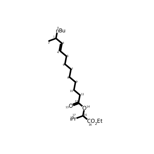 CCCCC(C)/C=C/CCCCCCCC(=O)OC(C(=O)OCC)C(C)C